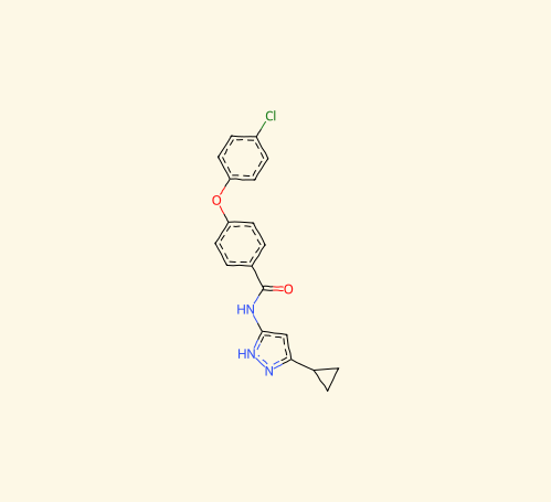 O=C(Nc1cc(C2CC2)n[nH]1)c1ccc(Oc2ccc(Cl)cc2)cc1